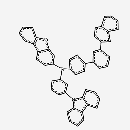 c1cc(-c2ccc(N(c3cccc(-n4c5ccccc5c5ccccc54)c3)c3ccc4c(c3)oc3ccccc34)cc2)cc(-c2ccc3ccccc3c2)c1